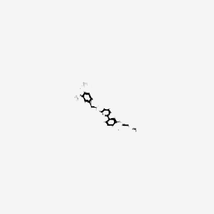 CCOCC(=O)Nc1cccc(-c2cccc(OCCc3ccc(OC)c(OC)c3)n2)c1